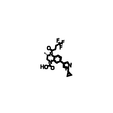 C[C@H]1CN(C(=O)O)c2cc(-c3cnn(C4CC4)c3)ccc2N1C(=O)CCC(F)(F)F